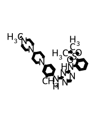 Cc1cc(N2CCC(N3CCN(C)CC3)CC2)ccc1Nc1ncnc(Nc2ccccc2S(=O)(=O)C(C)C)n1